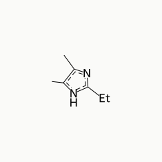 CCc1nc(C)c(C)[nH]1